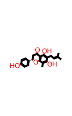 CC(C)=CCc1c(O)c(C)c2c(c1O)C(=O)C[C@@H](c1ccc(O)cc1)O2